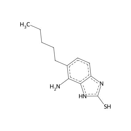 CCCCCc1ccc2nc(S)[nH]c2c1N